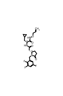 C=CCONC(=O)[C@H](CC1CC1)NC(=O)C[C@@H]1CCC(=O)N1Cc1cc(F)cc(F)c1F